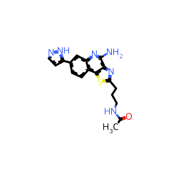 CC(=O)NCCCc1nc2c(N)nc3cc(-c4ccn[nH]4)ccc3c2s1